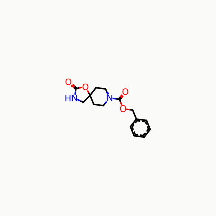 O=C1NCC2(CCN(C(=O)OCc3ccccc3)CC2)O1